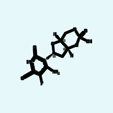 Nc1c(F)c(=O)[nH]c(=O)n1[C@H]1C[C@@H]2OP(=O)(O)OC[C@H]2O1